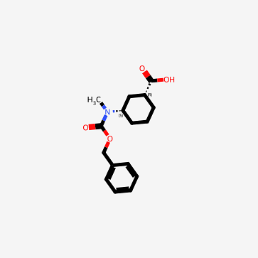 CN(C(=O)OCc1ccccc1)[C@H]1CCC[C@@H](C(=O)O)C1